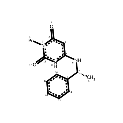 CC(C)n1c(=O)cc(N[C@H](C)c2ccccc2)[nH]c1=O